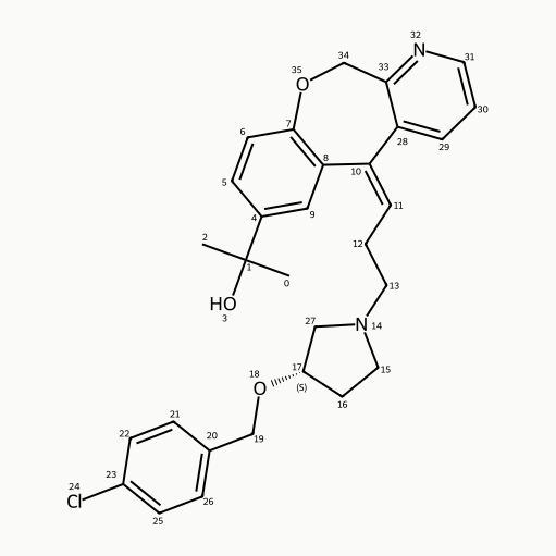 CC(C)(O)c1ccc2c(c1)C(=CCCN1CC[C@H](OCc3ccc(Cl)cc3)C1)c1cccnc1CO2